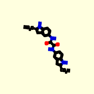 O=C(Nc1ccc2[nH]c(C(=O)O)cc2c1)C(=O)Nc1ccc2[nH]c(C(=O)O)cc2c1